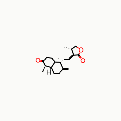 C=C1CC[C@@H]2[C@@H](C)C(=O)CC[C@@]2(C)[C@@H]1C/C=C1/C(=O)OC[C@H]1C